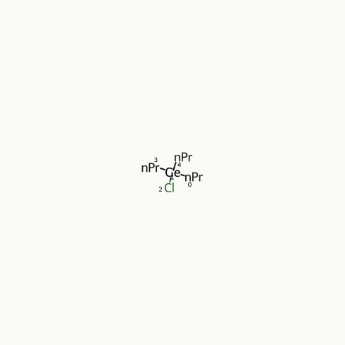 CC[CH2][Ge]([Cl])([CH2]CC)[CH2]CC